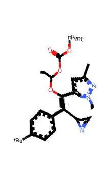 CCCCCOC(=O)OC(C)O/C(=C(\c1ccc(C(C)(C)C)cc1)C1C=N1)c1cc(C)nn1C